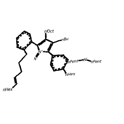 CCCCCCC=CCCCc1ccccc1C1=C(CCCCCCCC)C(CCCC)=C(c2ccc(CCCCCC)cc2)[N+]1=[N-].CCCC[CH2][Ni][CH2]CCCC